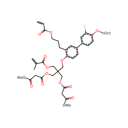 C=CC(=O)OCCCc1cc(-c2ccc(OCCCCCCCC)c(F)c2)ccc1OCC(COC(=O)CC(=O)OC)(COC(=O)CC(=O)OC)COC(=O)C(=C)C